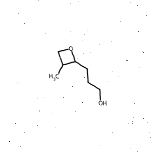 CC1COC1CCCO